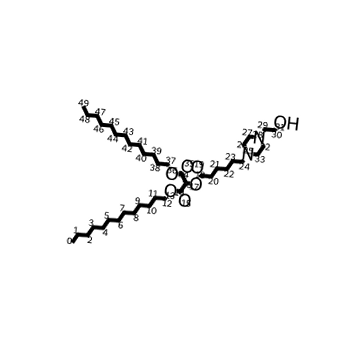 CCCCCCCCCCCCCOC(=O)C(OC(=O)CCCCCN1CCN(CCO)CC1)C(=O)OCCCCCCCCCCCCC